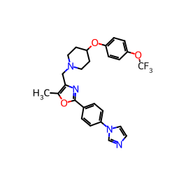 Cc1oc(-c2ccc(-n3ccnc3)cc2)nc1CN1CCC(Oc2ccc(OC(F)(F)F)cc2)CC1